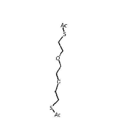 CC(=O)SCCOCCOCCSC(C)=O